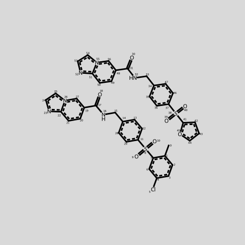 Cc1ccc(Cl)cc1S(=O)(=O)c1ccc(CNC(=O)c2ccc3nccn3c2)cc1.O=C(NCc1ccc(S(=O)(=O)c2ccco2)cc1)c1ccc2nccn2c1